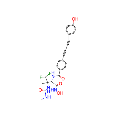 CNC(=O)NC(C)(C(F)F)[C@H](NC(=O)c1ccc(C#CC#Cc2ccc(O)cc2)cc1)C(=O)NO